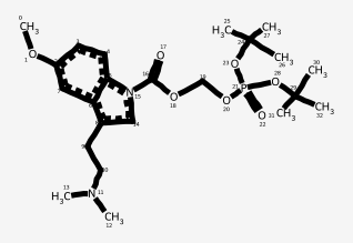 COc1ccc2c(c1)c(CCN(C)C)cn2C(=O)OCOP(=O)(OC(C)(C)C)OC(C)(C)C